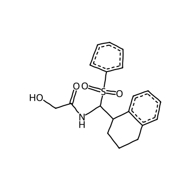 O=C(CO)NC(C1CCCc2ccccc21)S(=O)(=O)c1ccccc1